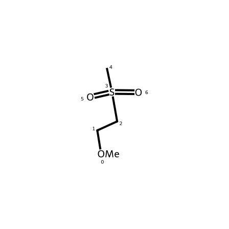 [C]OCCS(C)(=O)=O